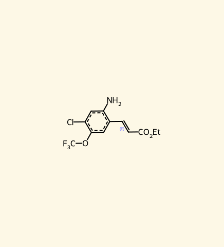 CCOC(=O)/C=C/c1cc(OC(F)(F)F)c(Cl)cc1N